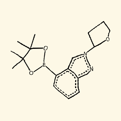 CC1(C)OB(c2cccc3nn(C4CCCO4)cc23)OC1(C)C